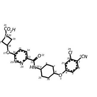 N#Cc1ccc(OC2CCC(NC(=O)c3ccc(OC4CN(C(=O)O)C4)nn3)CC2)cc1Cl